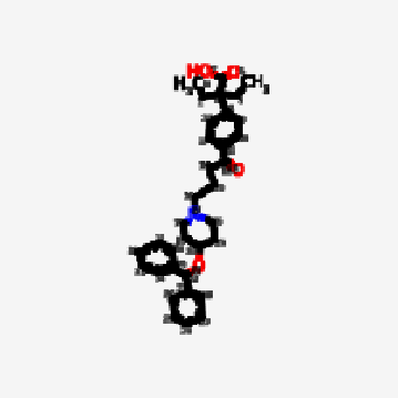 CCC(CC)(C(=O)O)c1ccc(C(=O)CCCN2CCC(OC(c3ccccc3)c3ccccc3)CC2)cc1